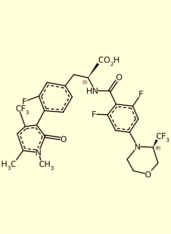 Cc1cc(C(F)(F)F)c(-c2ccc(C[C@H](NC(=O)c3c(F)cc(N4CCOC[C@@H]4C(F)(F)F)cc3F)C(=O)O)cc2F)c(=O)n1C